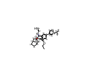 CCOC1CC1C(=O)N1C2CCC1CN(/C(=N/C=N)c1cc(-c3cnn(C(F)F)c3)c[nH]1)C2